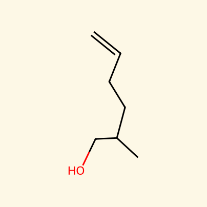 C=CCCC(C)CO